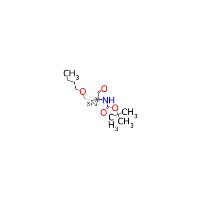 CCCCOC[C@H]1C[C@]1(C=O)NC(=O)OC(C)(C)C